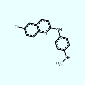 CNc1ccc(Nc2ccc3cc(Cl)ccc3n2)cc1